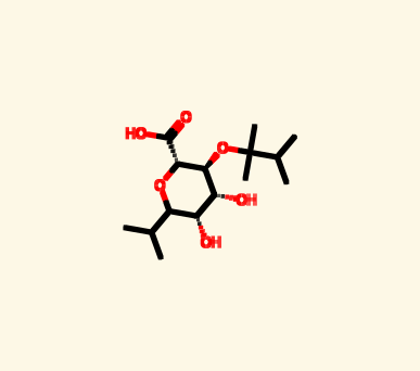 CC(C)C1O[C@H](C(=O)O)[C@@H](OC(C)(C)C(C)C)[C@H](O)[C@@H]1O